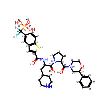 O=C(NC(CC1CCNCC1)C(=O)N1CCCC1C(=O)N1CCOC(c2ccccc2)C1)c1cc2cc(C(F)(F)P(=O)(O)O)ccc2s1